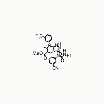 CCNC(=O)Nc1cc(C#N)ccc1[C@@H]1C(C(=O)OC)=C(C)N(c2cccc(C(F)(F)F)c2)c2n[nH]c(=O)n21